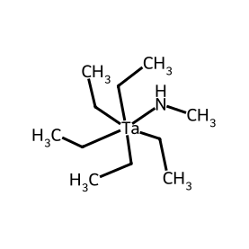 C[CH2][Ta]([CH2]C)([CH2]C)([CH2]C)([CH2]C)[NH]C